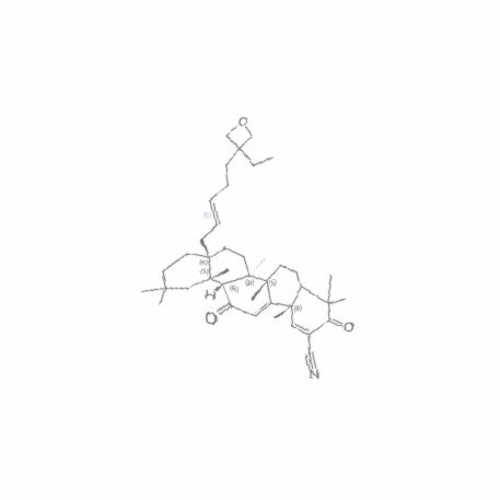 CCC1(CC/C=C/C[C@]23CCC(C)(C)C[C@@]2(C)[C@H]2C(=O)C=C4[C@@]5(C)C=C(C#N)C(=O)C(C)(C)C5CC[C@@]4(C)[C@]2(C)CC3)COC1